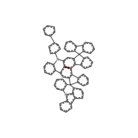 c1ccc(-c2ccc(N(c3ccc4c(c3)C3(c5ccccc5-c5ccccc53)c3ccccc3-4)c3ccccc3-c3ccc4c(c3)C3(c5ccccc5-4)c4ccccc4-n4c5ccccc5c5cccc3c54)cc2)cc1